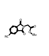 CC(C)(C)OC(=O)CN1C(=O)c2ccc(C#N)cc2C1=O